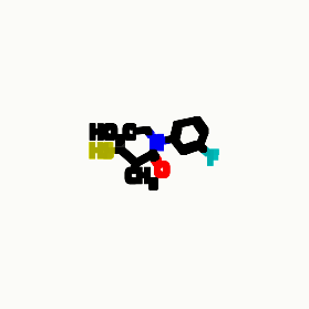 CC(CS)C(=O)N(CC(=O)O)c1cccc(F)c1